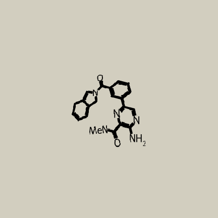 CNC(=O)c1nc(-c2cccc(C(=O)N3C=C4CC=CC=C4C3)c2)cnc1N